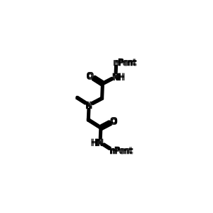 CCCCCNC(=O)CN(C)CC(=O)NCCCCC